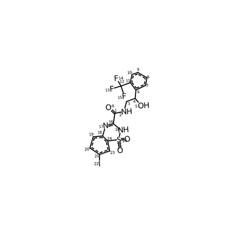 O=C(NCC(O)c1ccccc1C(F)(F)F)C1=Nc2ccc(I)cc2S(=O)(=O)N1